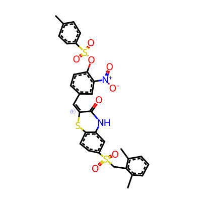 Cc1ccc(S(=O)(=O)Oc2ccc(/C=C3/Sc4ccc(S(=O)(=O)Cc5c(C)cccc5C)cc4NC3=O)cc2[N+](=O)[O-])cc1